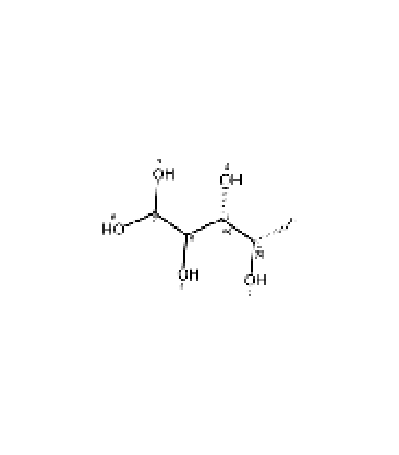 C[C@H](O)[C@@H](O)C(O)C(O)O